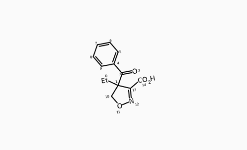 CCC1(C(=O)c2ccccc2)CON=C1C(=O)O